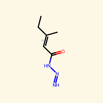 CC/C(C)=C/C(=O)NN=N